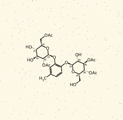 CC(=O)OC[C@H]1O[C@@H](Oc2cc(C)ccc2O[C@@H]2O[C@H](CO)[C@@H](OC(C)=O)[C@H](OC(C)=O)[C@H]2O)[C@H](OC(C)=O)[C@@H](O)[C@@H]1O